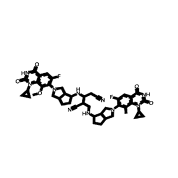 COc1c(N2CC3CCC(NC(CC#N)C(C#N)CNC4CCC5CN(c6c(F)cc7c(=O)[nH]c(=O)n(C8CC8)c7c6C)CC54)C3C2)c(F)cc2c(=O)[nH]c(=O)n(C3CC3)c12